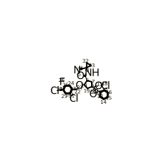 N#CC1(NC(=O)[C@H]2C[C@H](S(=O)(=O)c3ccccc3Cl)C[C@@H]2OCc2cc(F)c(Cl)cc2Cl)CC1